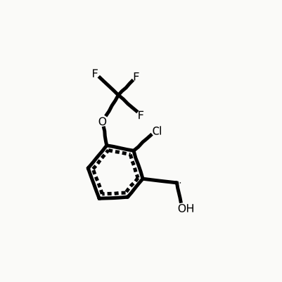 O[CH]c1cccc(OC(F)(F)F)c1Cl